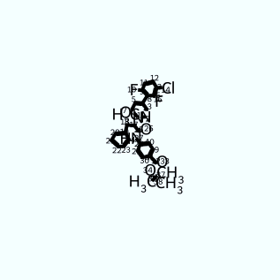 CN(/N=C\C(=C/C=O)c1c(F)ccc(Cl)c1F)C(Cc1ccccc1)C(=O)Nc1ccc(C(=O)OC(C)(C)C)cc1